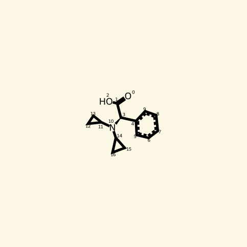 O=C(O)[C@@H](c1ccccc1)N(C1CC1)C1CC1